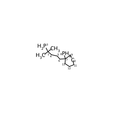 CC(C)(P)CCCC1(P)CCCCC1